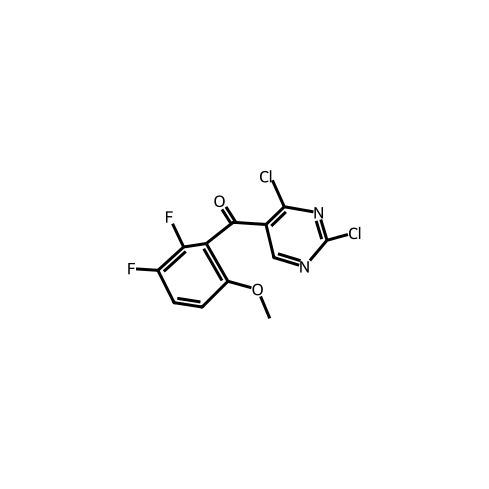 COc1ccc(F)c(F)c1C(=O)c1cnc(Cl)nc1Cl